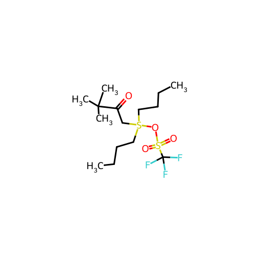 CCCCS(CCCC)(CC(=O)C(C)(C)C)OS(=O)(=O)C(F)(F)F